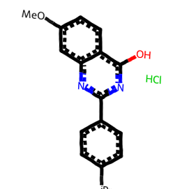 COc1ccc2c(O)nc(-c3ccc(C(C)C)cc3)nc2c1.Cl